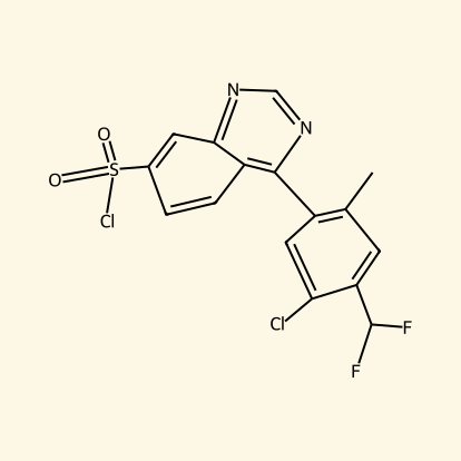 Cc1cc(C(F)F)c(Cl)cc1-c1ncnc2cc(S(=O)(=O)Cl)ccc12